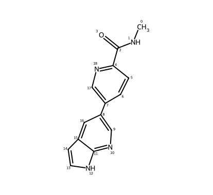 CNC(=O)c1ccc(-c2cnc3[nH]ccc3c2)cn1